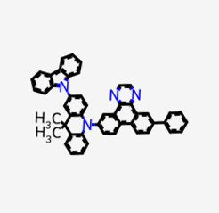 CC1(C)c2ccccc2N(c2ccc3c4ccc(-c5ccccc5)cc4c4nccnc4c3c2)c2ccc(-n3c4ccccc4c4ccccc43)cc21